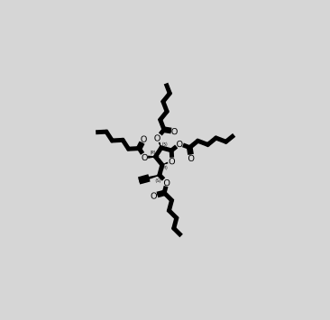 C#C[C@H](OC(=O)CCCCC)[C@H]1OC(OC(=O)CCCCC)[C@@H](OC(=O)CCCCC)[C@@H]1OC(=O)CCCCC